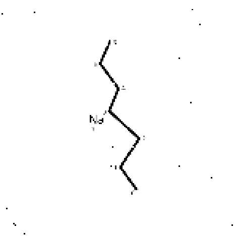 CCCCCCC.[Na]